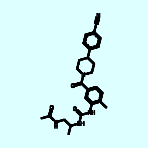 CC(=O)NCC(C)NC(=O)Nc1cc(C(=O)N2CCC(c3ccc(C#N)cc3)CC2)ccc1C